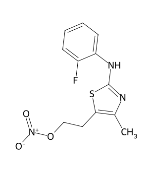 Cc1nc(Nc2ccccc2F)sc1CCO[N+](=O)[O-]